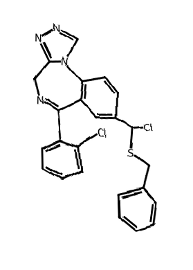 Clc1ccccc1C1=NCc2nncn2-c2ccc(C(Cl)SCc3ccccc3)cc21